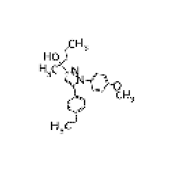 CCCC(C)(O)c1cc(-c2ccc(CC)cc2)n(-c2ccc(OC)cc2)n1